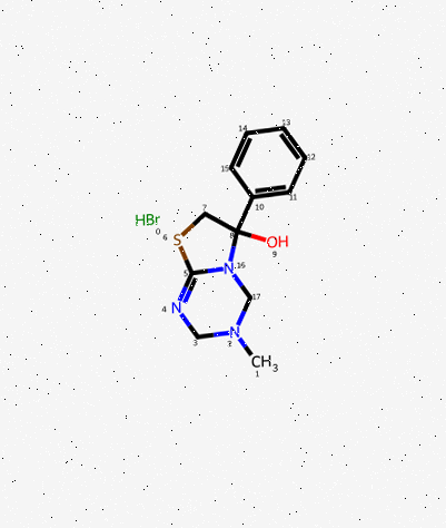 Br.CN1CN=C2SCC(O)(c3ccccc3)N2C1